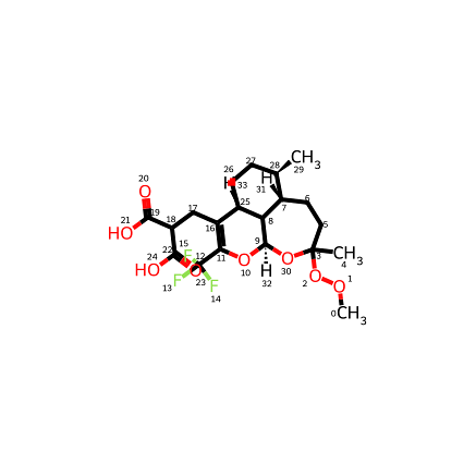 COOC1(C)CC[C@@H]2C3[C@H](OC(C(F)(F)F)=C(CC(C(=O)O)C(=O)O)[C@@H]3CC[C@H]2C)O1